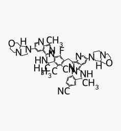 Cc1c([C@@H](C)Nc2nnc(C)c3ncc(N4CCN5CCOC[C@@H]5C4)cc23)cc(F)c(Cc2nnc(N[C@H](C)c3cccc(C#N)c3)c3cc(N4CCN5CCOC[C@@H]5C4)cnc23)c1C#N